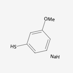 COc1cccc(S)c1.[NaH]